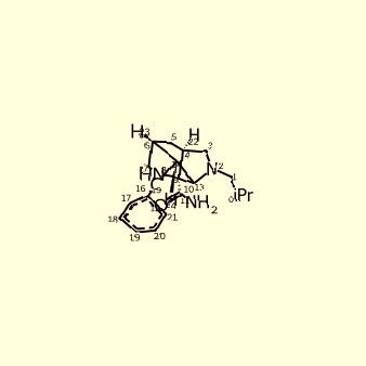 CC(C)CN1C[C@@H]2C[C@H]3CN[C@]2(C(N)=O)C1[C@@H]3Cc1ccccc1